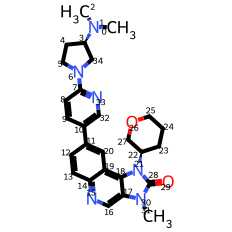 CN(C)[C@@H]1CCN(c2ccc(-c3ccc4ncc5c(c4c3)n([C@@H]3CCCOC3)c(=O)n5C)cn2)C1